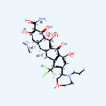 CCCN1CCOCC1c1cc(O)c2c(c1C(F)(F)F)C[C@H]1C[C@H]3[C@H](N(C)C)C(O)=C(C(N)=O)C(=O)[C@@]3(O)C(O)=C1C2=O